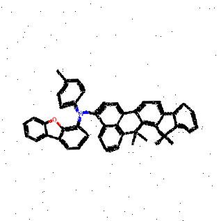 Cc1ccc(N(c2ccc3c4c(cccc24)C(C)(C)c2c-3ccc3c2C(C)(C)c2ccccc2-3)c2cccc3c2oc2ccccc23)cc1